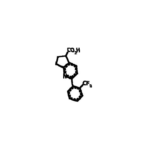 O=C(O)C1CCc2nc(-c3ccccc3C(F)(F)F)ccc21